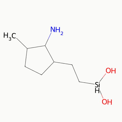 CC1CCC(CC[SiH](O)O)C1N